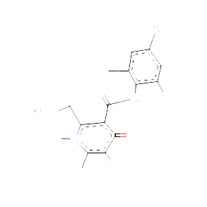 CCc1cc(N)cc(CC)c1NC(=O)c1c(COC)n(C)c(C)c(Br)c1=O